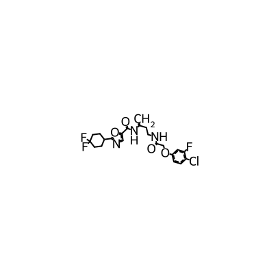 C=C(CCNC(=O)COc1ccc(Cl)c(F)c1)NC(=O)c1cnc(C2CCC(F)(F)CC2)o1